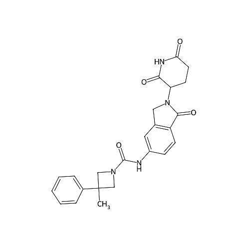 CC1(c2ccccc2)CN(C(=O)Nc2ccc3c(c2)CN(C2CCC(=O)NC2=O)C3=O)C1